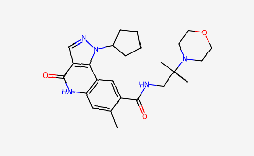 Cc1cc2[nH]c(=O)c3cnn(C4CCCC4)c3c2cc1C(=O)NCC(C)(C)N1CCOCC1